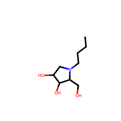 CCCCN1CC(O)C(O)C1CO